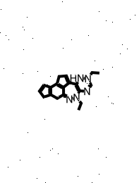 CCn1cnc2n(CC)nc3c4c(c=2[nH]1)=CCC=4C1=C(CC=C1)C3